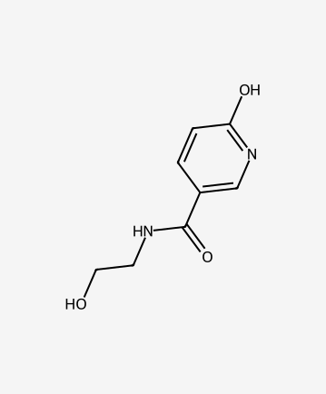 O=C(NCCO)c1ccc(O)nc1